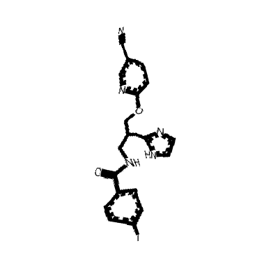 N#Cc1ccc(OCC(CNC(=O)c2ccc(I)cc2)c2ncc[nH]2)nc1